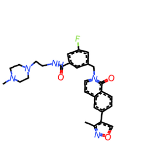 Cc1nocc1-c1ccc2c(=O)n(Cc3cc(F)cc(C(=O)NCCN4CCN(C)CC4)c3)ccc2c1